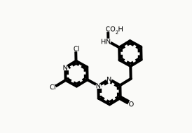 O=C(O)Nc1cccc(Cc2nn(-c3cc(Cl)nc(Cl)c3)ccc2=O)c1